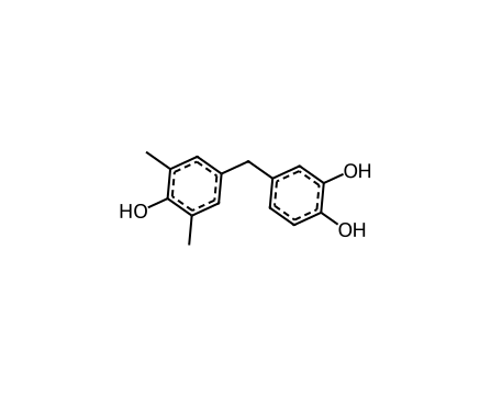 Cc1cc(Cc2ccc(O)c(O)c2)cc(C)c1O